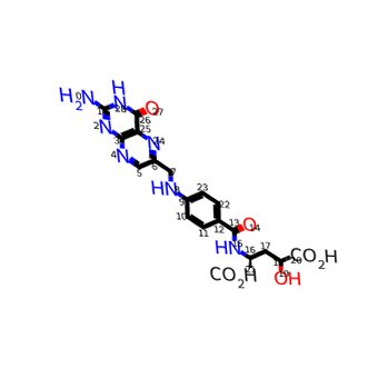 Nc1nc2ncc(CNc3ccc(C(=O)N[C@@H](CC(O)C(=O)O)C(=O)O)cc3)nc2c(=O)[nH]1